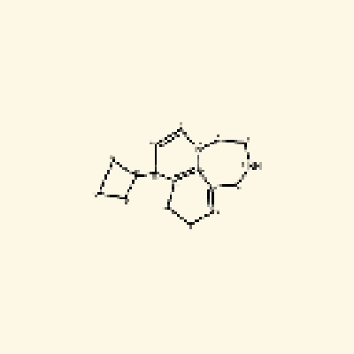 C1=CN2CCNCC3=CCCC(=C32)C1C1CCC1